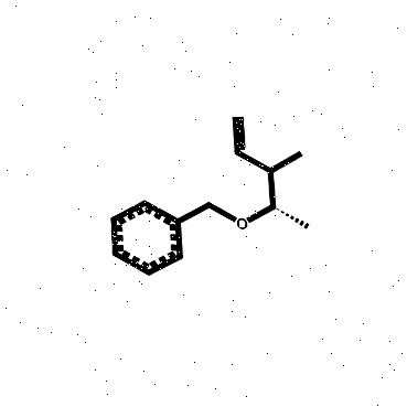 C=CC(C)[C@H](C)OCc1ccccc1